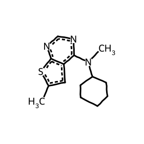 Cc1cc2c(N(C)C3CCCCC3)ncnc2s1